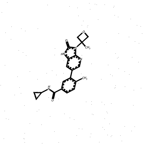 Cc1ccc(C(=O)NC2CC2)cc1-c1cnc2c(c1)[nH]c(=O)n2C1(C)COC1